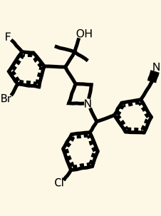 CC(C)(O)C(c1cc(F)cc(Br)c1)C1CN(C(c2ccc(Cl)cc2)c2cccc(C#N)c2)C1